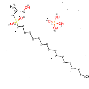 CCCCCCCCCCCCCCCCCCS(=O)(=O)CC(C)CO.O=P(O)(O)O